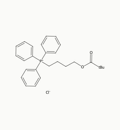 CC(C)(C)C(=O)OCCCC[P+](c1ccccc1)(c1ccccc1)c1ccccc1.[Cl-]